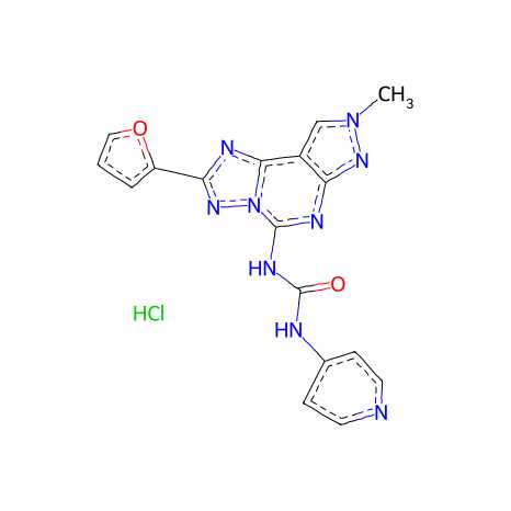 Cl.Cn1cc2c(nc(NC(=O)Nc3ccncc3)n3nc(-c4ccco4)nc23)n1